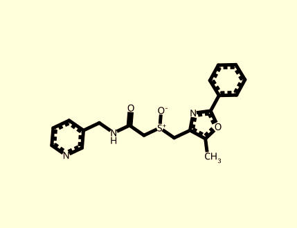 Cc1oc(-c2ccccc2)nc1C[S+]([O-])CC(=O)NCc1cccnc1